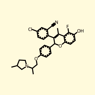 CC1=C(c2ccc(Cl)cc2C#N)C(c2ccc(OCC(C)N3CCC(C)C3)cc2)Oc2ccc(O)c(F)c21